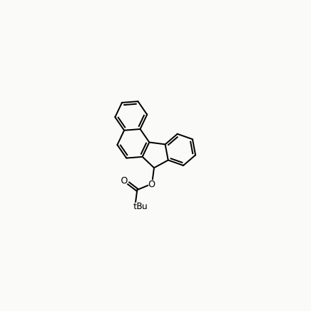 CC(C)(C)C(=O)OC1c2ccccc2-c2c1ccc1ccccc21